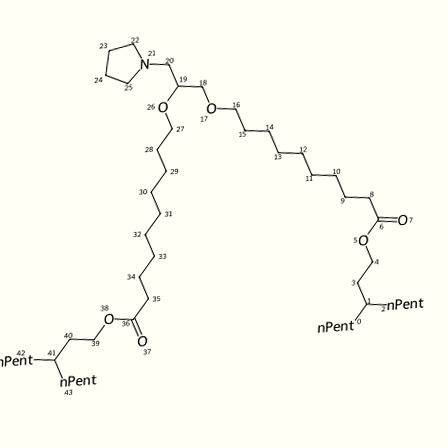 CCCCCC(CCCCC)CCOC(=O)CCCCCCCCCOCC(CN1CCCC1)OCCCCCCCCCC(=O)OCCC(CCCCC)CCCCC